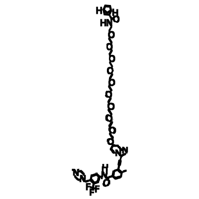 Cc1ccc(C(=O)Nc2ccc(CN3CCN(C)CC3)c(C(F)(F)F)c2)cc1C#Cc1cnc2cc(OCCOCCOCCOCCOCCOCCOCCOCCOCCOCCNC(=O)[C@H]3C[C@H]4C=C[C@@H]3C4)ccn12